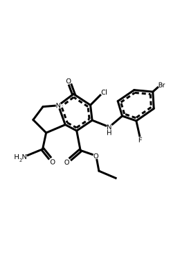 CCOC(=O)c1c(Nc2ccc(Br)cc2F)c(Cl)c(=O)n2c1C(C(N)=O)CC2